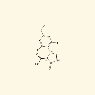 CCc1cc(F)c([C@@H]2CNC(=O)[C@H]2C(=O)O)c(F)c1